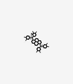 Cc1ccc(N(c2ccc(C)c(C)c2)c2ccc3ccc4c(N(c5ccc(C)c(C)c5)c5ccc(C)c(C)n5)ccc5ccc2c3c54)cc1C